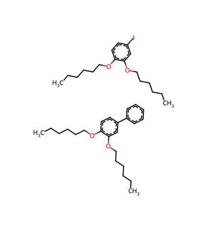 CCCCCCOc1ccc(-c2ccccc2)cc1OCCCCCC.CCCCCCOc1ccc(I)cc1OCCCCCC